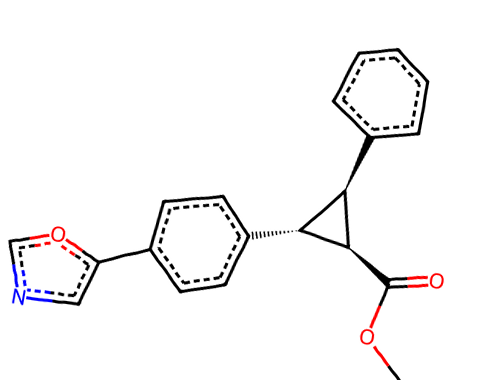 COC(=O)[C@@H]1[C@H](c2ccccc2)[C@H]1c1ccc(-c2cnco2)cc1